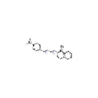 CC[n+]1c(/C=C/C=C/c2ccc(N(C)C)cc2)ccc2ccccc21